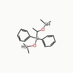 CC(O[SiH](C)C)[Si](O[SiH](C)C)(c1ccccc1)c1ccccc1